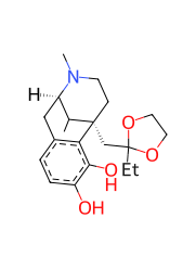 CCC1(C[C@]23CCN(C)[C@H](Cc4ccc(O)c(O)c42)C3C)OCCO1